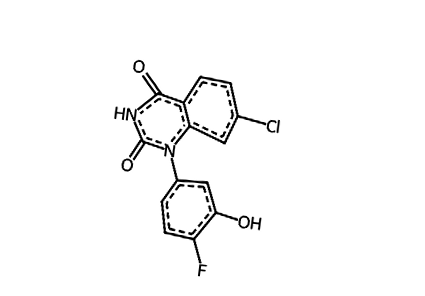 O=c1[nH]c(=O)n(-c2ccc(F)c(O)c2)c2cc(Cl)ccc12